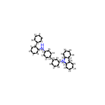 c1ccc(-c2ccccc2Nc2ccc(-c3cccc(-n4c5ccccc5c5ccccc54)c3)cc2)cc1